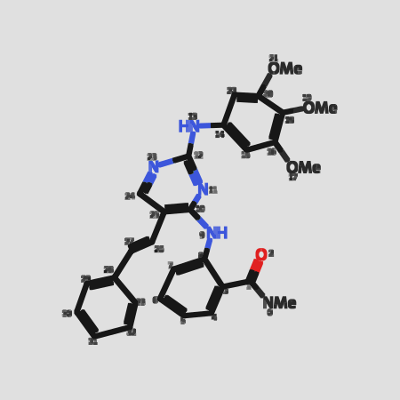 CNC(=O)c1ccccc1Nc1nc(Nc2cc(OC)c(OC)c(OC)c2)ncc1C=Cc1ccccc1